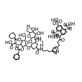 CC1CC(C(=O)NCCCc2cn(CCC(=O)Nc3ccc(S(=O)(=O)O)c4cc(S(=O)(=O)O)cc(S(=O)(=O)O)c34)nn2)CC(OC2OC(CO)C(O)C(O[C@@H](CC3CCCCC3)C(=O)O)C2OC(=O)c2ccccc2)C1OC1OC(C)C(O)C(O)C1O